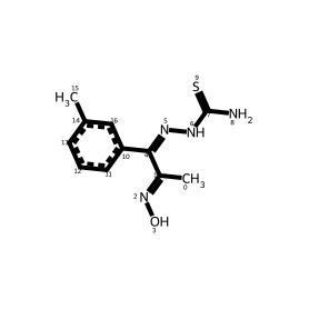 CC(=NO)C(=NNC(N)=S)c1cccc(C)c1